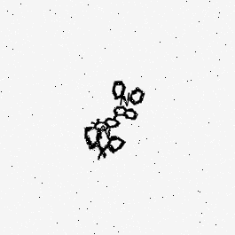 CC1(C)c2ccccc2N2c3ccc(-c4ccc(N(c5ccccc5)c5ccccc5)c5ccccc45)cc3C(C)(C)c3cccc1c32